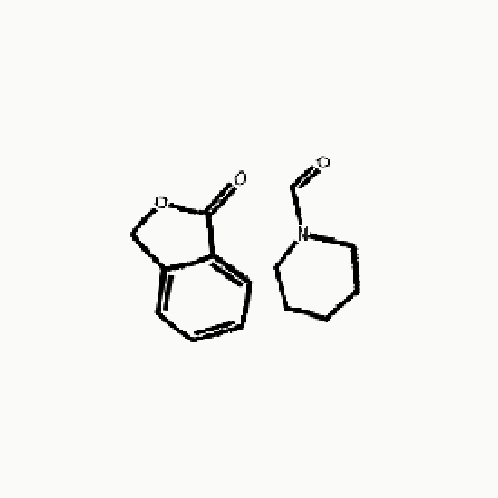 O=C1OCc2ccccc21.O=CN1CCCCC1